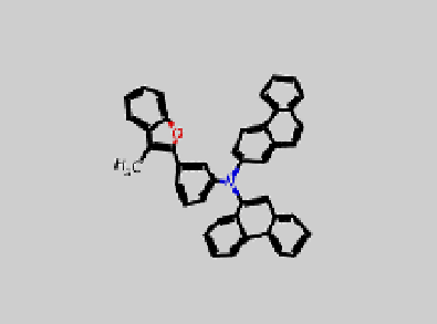 Cc1c(-c2cccc(N(c3ccc4c(ccc5ccccc54)c3)c3cc4ccccc4c4ccccc34)c2)oc2ccccc12